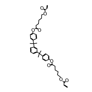 C=CC(=O)OCCCCCC(=O)Oc1ccc(C(C)(C)c2cccc(C(C)(C)c3ccc(OC(=O)CCCCCOC(=O)C=C)cc3)c2)cc1